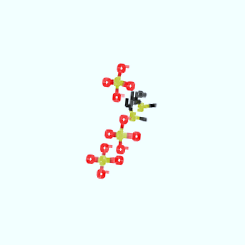 C[S][U+3].C[S][U+3].O=S(=O)([O-])[O-].O=S(=O)([O-])[O-].O=S(=O)([O-])[O-]